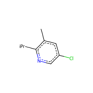 Cc1cc(Cl)cnc1C(C)C